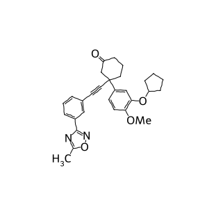 COc1ccc(C2(C#Cc3cccc(-c4noc(C)n4)c3)CCCC(=O)C2)cc1OC1CCCC1